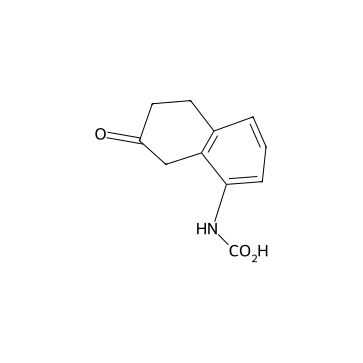 O=C1CCc2cccc(NC(=O)O)c2C1